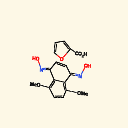 COc1ccc(OC)c2c1C(=NO)C=CC2=NO.O=C(O)c1ccco1